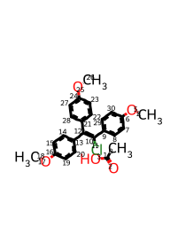 CC(=O)O.COc1ccc(C(Cl)=C(c2ccc(OC)cc2)c2ccc(OC)cc2)cc1